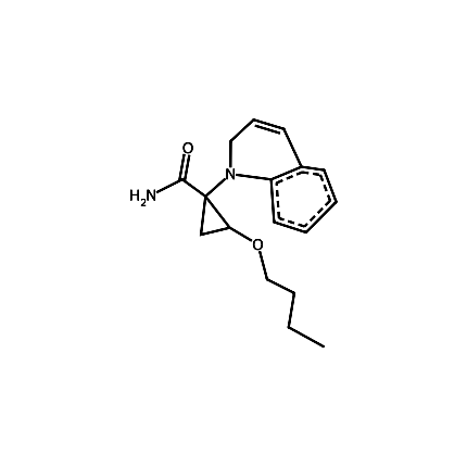 CCCCOC1CC1(C(N)=O)N1CC=Cc2ccccc21